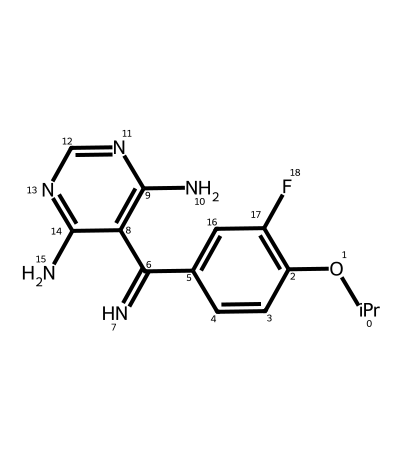 CC(C)Oc1ccc(C(=N)c2c(N)ncnc2N)cc1F